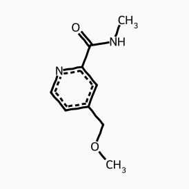 CNC(=O)c1cc(COC)ccn1